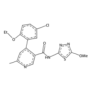 CCOc1ccc(Cl)cc1-c1cc(C)ncc1C(=O)Nc1nnc(OC)s1